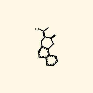 C=C1Cc2c(ccc3ccccc23)C/C1=C(/C)N